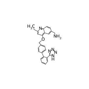 CCc1cc(OCc2ccc(-c3ccccc3-c3nnn[nH]3)cc2)c2cc(CN)ccc2n1